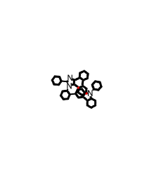 c1ccc(-c2nc3c4ccccc4c4ccccc4c3n2-c2ccccc2-c2ccc3c(c2)c2ccccc2n3-c2ccccc2)cc1